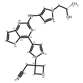 C[C@H](O)Cn1cc(Nc2nc(-c3cnn(C4(CC#N)COC4)c3)c3sccc3n2)cn1